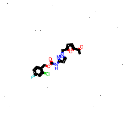 CC(=O)c1ccc(Cn2ccc(NC(=O)OCc3ccc(F)cc3Cl)n2)o1